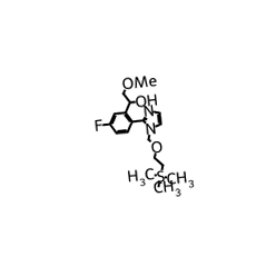 COCC(O)c1cc(F)ccc1-c1nccn1COCCS(C)(C)C